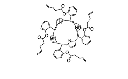 C=CCCC(=O)Oc1ccccc1-c1c2nc(c(-c3ccccc3OC(=O)CCC=C)c3ccc([nH]3)c(-c3ccccc3OC(=O)CCC=C)c3nc(c(-c4ccccc4OC(=O)CCC=C)c4ccc1[nH]4)C=C3)C=C2